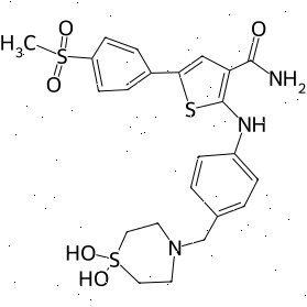 CS(=O)(=O)c1ccc(-c2cc(C(N)=O)c(Nc3ccc(CN4CCS(O)(O)CC4)cc3)s2)cc1